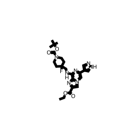 CCOC(=O)c1cn2cc(-c3cn[nH]c3)nc(NCC3(F)CCN(C(=O)OC(C)(C)C)CC3)c2n1